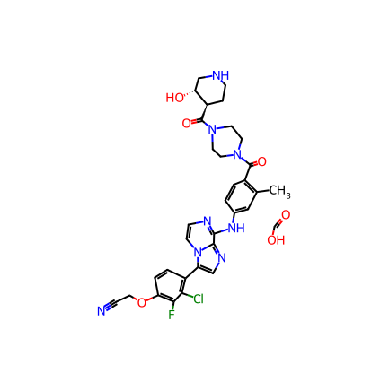 Cc1cc(Nc2nccn3c(-c4ccc(OCC#N)c(F)c4Cl)cnc23)ccc1C(=O)N1CCN(C(=O)[C@@H]2CCNC[C@H]2O)CC1.O=CO